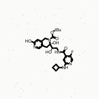 CC(C)(C)OC(=O)N1Cc2cc(O)ncc2C[C@]1(O)[C@H](O)CNC(=O)c1cc(NC2CCC2)ncc1F